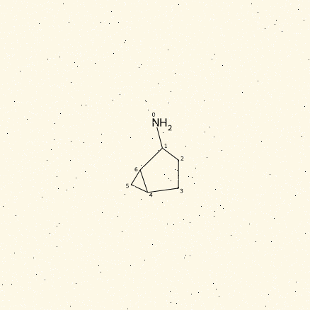 NC1CCC2CC12